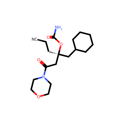 N#CCC[C@@](CC(=O)N1CCOCC1)(CC1CCCCC1)OC(N)=O